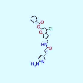 Nc1ccc(/C=C/C(=O)NCc2cc3oc(OC(=O)c4ccccc4)cc(Cl)c-3c2)cn1